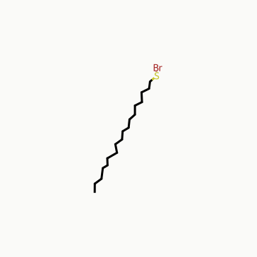 CCCCCCCCCCCCCCCCCCSBr